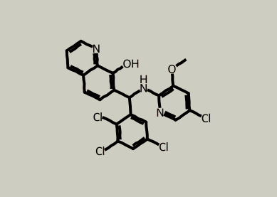 COc1cc(Cl)cnc1NC(c1cc(Cl)cc(Cl)c1Cl)c1ccc2cccnc2c1O